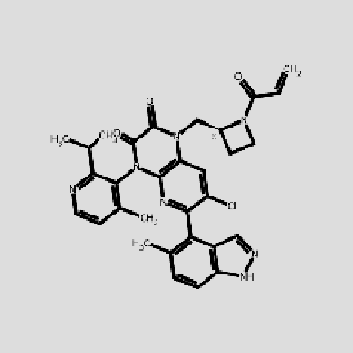 C=CC(=O)N1CC[C@H]1Cn1c(=O)c(=O)n(-c2c(C)ccnc2C(C)C)c2nc(-c3c(C)ccc4[nH]ncc34)c(Cl)cc21